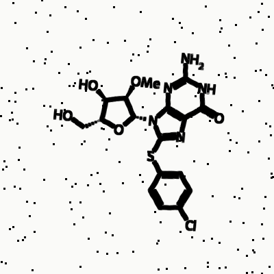 CO[C@@H]1[C@H](O)[C@@H](CO)O[C@H]1n1c(Sc2ccc(Cl)cc2)nc2c(=O)[nH]c(N)nc21